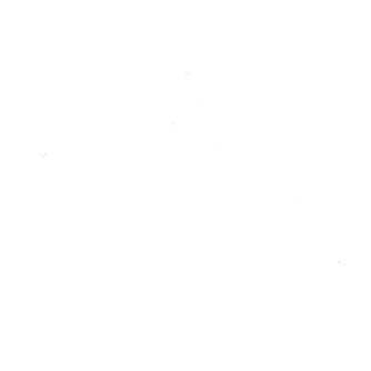 COc1ccc(C23CC=C(OC(=O)c4ccc(N(C)C)cc4)CC2N(C)CC3)cc1C